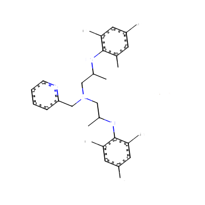 CC(CN(Cc1ccccn1)CC(C)Nc1c(C(C)C)cc(C(C)C)cc1C(C)C)Nc1c(C(C)C)cc(C(C)C)cc1C(C)C.[Br-].[Br-].[Co+2]